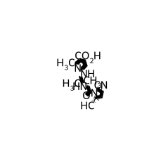 C#C[C@H]1CC[C@@H](C#N)N1C(=O)CNC(C)(C)CNc1ccc(C(=O)O)c(C)n1